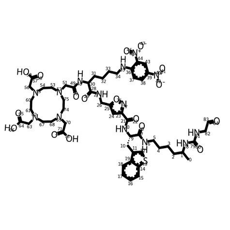 CC(CCCCNC(=O)[C@H](Cc1csc2ccccc12)NC(=O)c1cc(CNC(=O)C(CCCCNc2ccc([N+](=O)[O-])cc2[N+](=O)[O-])NC(=O)CN2CCN(CC(=O)O)CCN(CC(=O)O)CCN(CC(=O)O)CC2)on1)NC(=O)NCC=O